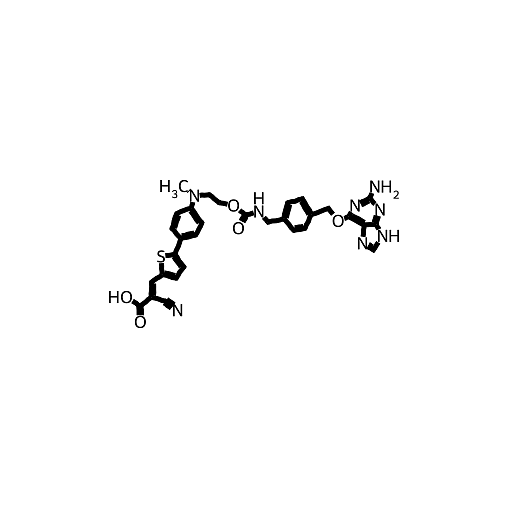 CN(CCOC(=O)NCc1ccc(COc2nc(N)nc3[nH]cnc23)cc1)c1ccc(-c2ccc(/C=C(\C#N)C(=O)O)s2)cc1